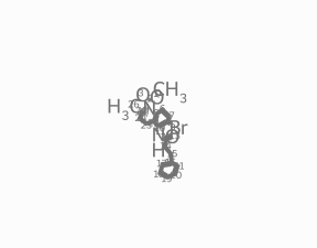 COC(=O)N1c2ccc(Br)c(NC(=O)CCc3ccccc3)c2CC[C@@H]1C